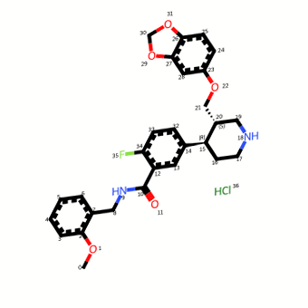 COc1ccccc1CNC(=O)c1cc([C@@H]2CCNC[C@H]2COc2ccc3c(c2)OCO3)ccc1F.Cl